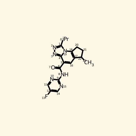 CC(C)c1nnc2c(C(=O)Nc3ncc(F)cn3)cc3c(n12)CCC3C